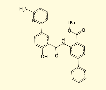 CC(C)(C)OC(=O)c1ccc(-c2ccccc2)cc1NC(=O)c1cc(-c2cccc(N)n2)ccc1O